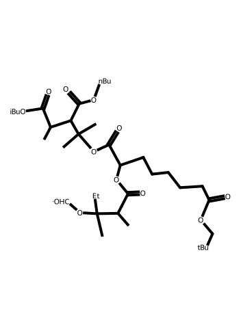 CCCCOC(=O)C(C(C)C(=O)OCC(C)C)C(C)(C)OC(=O)C(CCCCCC(=O)OCC(C)(C)C)OC(=O)C(C)C(C)(CC)O[C]=O